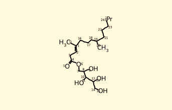 CC(=CCC(=O)OCC(O)C(O)C(O)CO)CCCC(C)CCCC(C)C